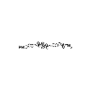 C=CC(=O)OCOc1ccc2cc(/C=C/C(=O)OC3COC4C(OC(=O)/C=C/c5ccc6cc(OC)ccc6c5)COC34)ccc2c1